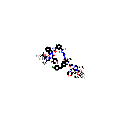 C[C@@H]1COCCN1C[C@H]1CN(C(=O)OC(C)(C)C)[C@@H](C)CN1CC(=O)N1C[C@@](C)(C(=O)NCCNC(=O)c2ccc(F)c(NC(=O)[C@@H]3c4ccccc4CN3C(=O)[C@@H](NC(=O)[C@H](C)N(C)C(=O)OC(C)(C)C)C3CCOCC3)c2)c2ccc(Cc3ccc(F)cc3)cc21